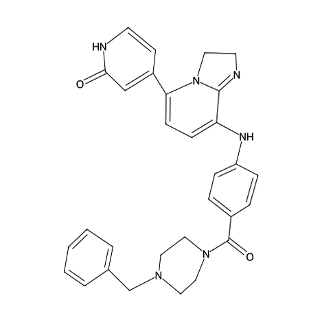 O=C(c1ccc(NC2=CC=C(c3cc[nH]c(=O)c3)N3CCN=C23)cc1)N1CCN(Cc2ccccc2)CC1